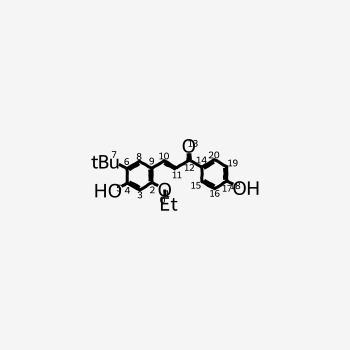 CCOc1cc(O)c(C(C)(C)C)cc1/C=C/C(=O)c1ccc(O)cc1